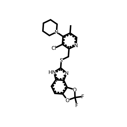 Cc1cnc(CSc2nc3c4c(ccc3[nH]2)OC(F)(F)O4)c(Cl)c1N1CCCCC1